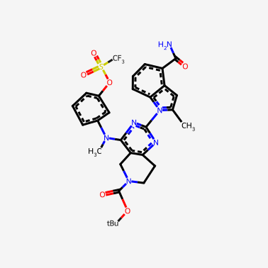 Cc1cc2c(C(N)=O)cccc2n1-c1nc2c(c(N(C)c3cccc(OS(=O)(=O)C(F)(F)F)c3)n1)CN(C(=O)OC(C)(C)C)CC2